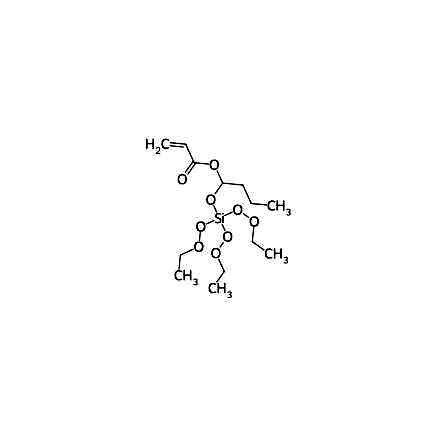 C=CC(=O)OC(CCC)O[Si](OOCC)(OOCC)OOCC